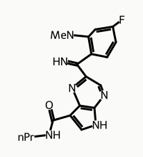 CCCNC(=O)c1c[nH]c2ncc(C(=N)c3ccc(F)cc3NC)nc12